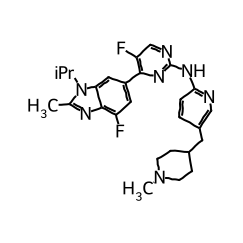 Cc1nc2c(F)cc(-c3nc(Nc4ccc(CC5CCN(C)CC5)cn4)ncc3F)cc2n1C(C)C